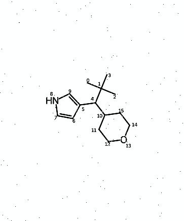 CC(C)(C)C(c1cc[nH]c1)C1CCOCC1